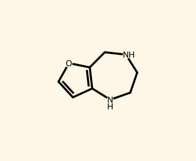 c1cc2c(o1)CNCCN2